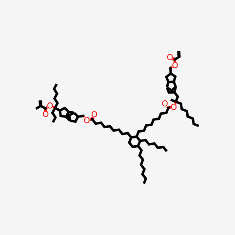 C=CC(=O)OCC1CC2C3CC(CC(C)(CCCCCCC)OC(=O)CCCCCCCCC4C(CCCCCCCCC(=O)OCC5CC6CC5C5CC(C(CCC)(CCCCC)OC(=O)C(=C)C)CC65)CCC(CCCCCCCC)C4CCCCCC)C(C3)C2C1